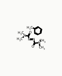 CN(C)C(=O)N=NC(=O)N(C)C.Cc1ccccc1